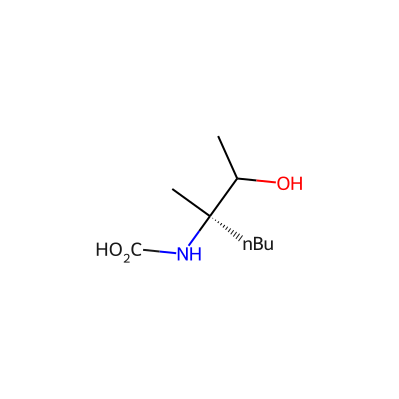 CCCC[C@@](C)(NC(=O)O)C(C)O